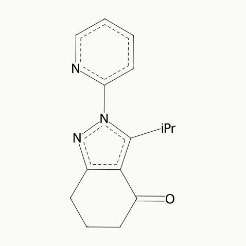 CC(C)c1c2c(nn1-c1ccccn1)CCCC2=O